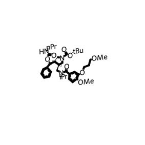 CCCNC(=O)O[C@H](c1ccccc1)[C@@H]1CN(C(=O)OC(C)(C)C)C[C@H]1CN(C(=O)c1ccc(OC)c(OCCCOC)c1)C(C)C